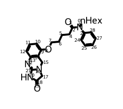 CCCCCCN(C(=O)CCCCOc1cccc2c1CN1CC(=O)NC1=N2)c1ccccc1